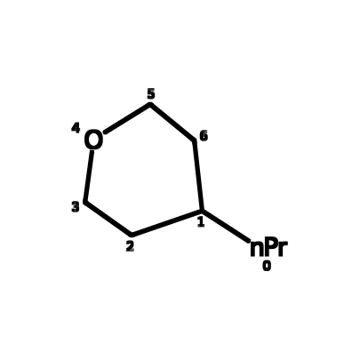 [CH2]CCC1CCOCC1